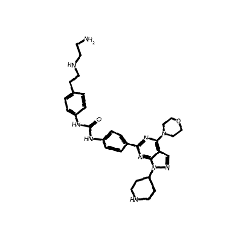 NCCNCCc1ccc(NC(=O)Nc2ccc(-c3nc(N4CCOCC4)c4cnn(C5CCNCC5)c4n3)cc2)cc1